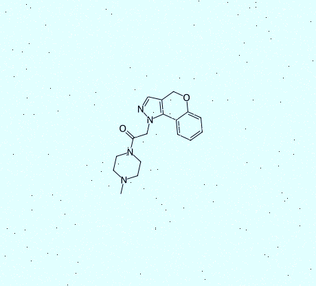 CN1CCN(C(=O)Cn2ncc3c2-c2ccccc2OC3)CC1